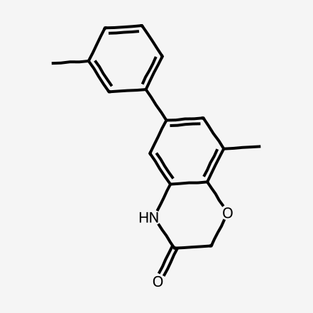 Cc1cccc(-c2cc(C)c3c(c2)NC(=O)CO3)c1